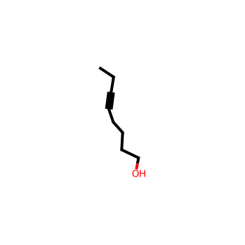 CCC#CCCCCO